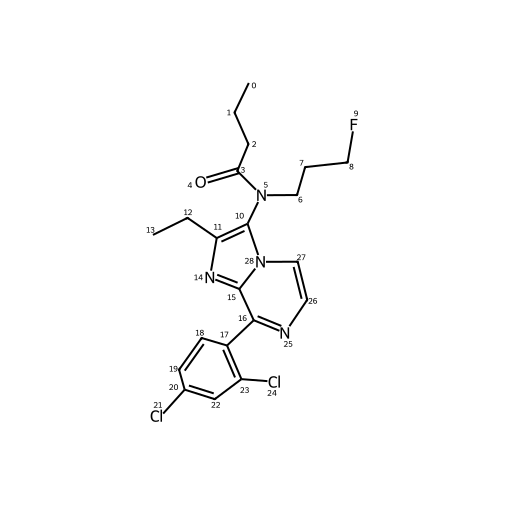 CCCC(=O)N(CCCF)c1c(CC)nc2c(-c3ccc(Cl)cc3Cl)nccn12